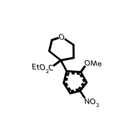 CCOC(=O)C1(c2ccc([N+](=O)[O-])cc2OC)CCOCC1